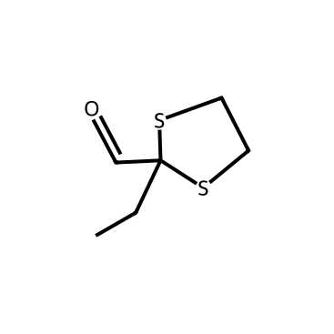 CCC1(C=O)SCCS1